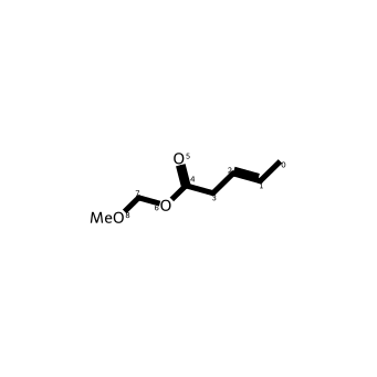 C/C=C/CC(=O)OCOC